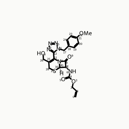 C=CCOC(=O)N[C@@H]1C(=O)N2C(c3nnnn3Cc3ccc(OC)cc3)=C(CO)CS[C@H]12